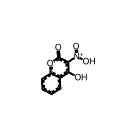 O=c1oc2ccccc2c(O)c1[N+](=O)O